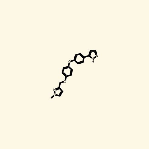 Cn1ccc(COc2ccc(Oc3ccc(-c4ccn[nH]4)cc3)cc2)n1